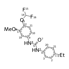 CCc1ccc(NC(=O)Nc2ccc(OC(F)F)c(OC)c2)cc1